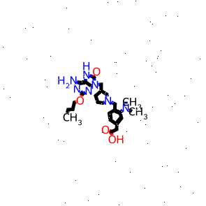 CCCCOc1nc(N)c2[nH]c(=O)n(CC3CCCN(Cc4ccc(CC(=O)O)cc4N(C)C)C3)c2n1